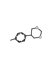 Cc1ccc(C2COCOC2)cc1